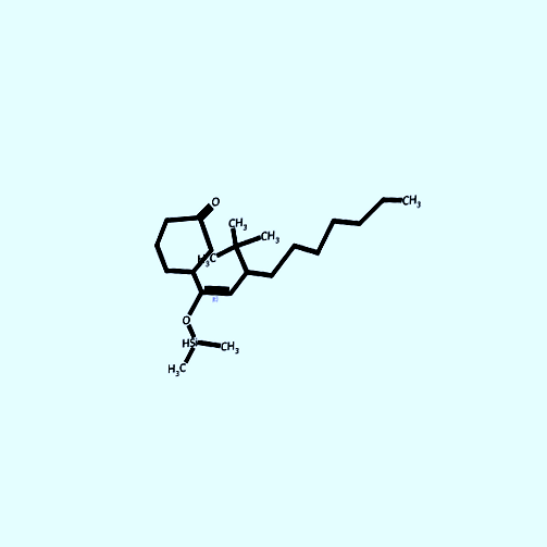 CCCCCCCC(/C=C(/O[SiH](C)C)C1CCCC(=O)C1)C(C)(C)C